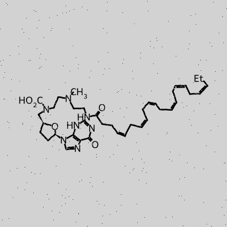 CC/C=C\C/C=C\C/C=C\C/C=C\C/C=C\C/C=C\CCC(=O)NCCN(C)CCN(C[C@@H]1CC[C@H](n2cnc3c(=O)nc[nH]c32)O1)C(=O)O